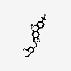 CCN1C[C@H](Cn2cc3cc(F)c(-c4ccc(C(F)(F)F)cc4O)nc3n2)CC1=O